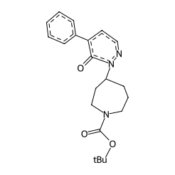 CC(C)(C)OC(=O)N1CCCC(n2nccc(-c3ccccc3)c2=O)CC1